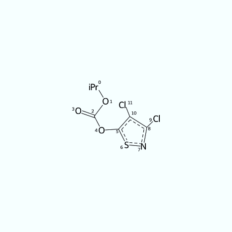 CC(C)OC(=O)Oc1snc(Cl)c1Cl